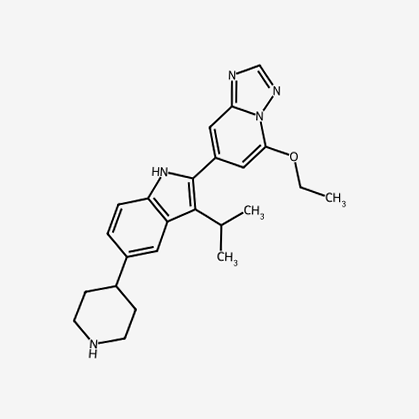 CCOc1cc(-c2[nH]c3ccc(C4CCNCC4)cc3c2C(C)C)cc2ncnn12